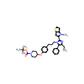 CCc1nc(-c2cc3sccc3n2C)n(CCCc2ccc(OC3CCN(C(=O)OC(C)(C)C)CC3)cc2)c1-c1ccccc1